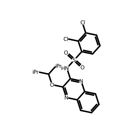 CC(C)C(Oc1nc2ccccc2nc1NS(=O)(=O)c1cccc(Cl)c1Cl)C(C)C